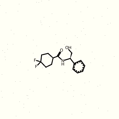 O=C(N[C@@H](CO)c1ccccc1)C1CCC(F)(F)CC1